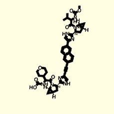 COC(=O)NC(C(=O)N1[C@@H]2C[C@@H]2C[C@H]1c1nc(-c2ccc3cc(C#Cc4c[nH]c([C@@H]5C[C@H]6C[C@H]6N5C(=O)C(NC(=O)O)C5CCOCC5)n4)ccc3c2)c[nH]1)C(C)C